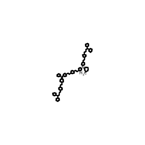 CC1C=CC=CC(N(c2ccc(C=Cc3ccc(C=CC=C(c4ccccc4)c4ccccc4)cc3)cc2)c2ccc(C=Cc3ccc(C=Cc4ccc(N(c5ccccc5)c5ccc(C=Cc6ccc(C=CC=C(c7ccccc7)c7ccccc7)cc6)cc5)cc4)cc3)cc2)=C1